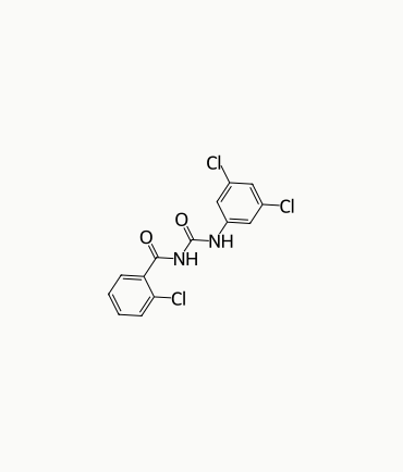 O=C(NC(=O)c1ccccc1Cl)Nc1cc(Cl)cc(Cl)c1